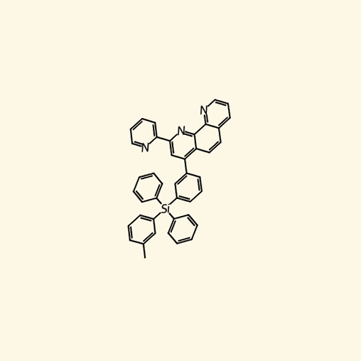 Cc1cccc([Si](c2ccccc2)(c2ccccc2)c2cccc(-c3cc(-c4ccccn4)nc4c3ccc3cccnc34)c2)c1